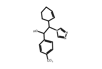 OC(c1ccc(C(Cl)(Cl)Cl)cc1)C(C1C=CCCC1)n1cnnc1